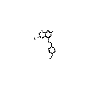 COc1ccc(CSc2cc(C)nc3ncc(Br)cc23)cc1